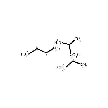 CC(N)C(=O)O.NCC(=O)O.NCCS(=O)(=O)O